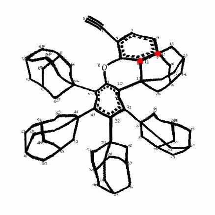 [C]#Cc1ccccc1Oc1c(C23CC4CC(CC(C4)C2)C3)c(C23CC4CC(CC(C4)C2)C3)c(C23CC4CC(CC(C4)C2)C3)c(C23CC4CC(CC(C4)C2)C3)c1C12CC3CC(CC(C3)C1)C2